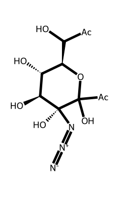 CC(=O)C(O)[C@H]1OC(O)(C(C)=O)[C@@](O)(N=[N+]=[N-])[C@@H](O)[C@@H]1O